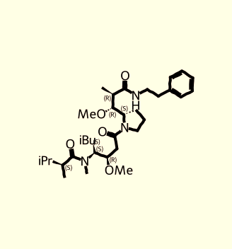 CC[C@H](C)[C@@H]([C@@H](CC(=O)N1CCC[C@H]1[C@H](OC)[C@@H](C)C(=O)NCCc1ccccc1)OC)N(C)C(=O)[C@@H](C)C(C)C